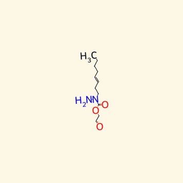 CCCCC=CCCN(N)C(=O)OCC=O